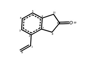 C=Cc1cccc2c1CC(=O)C2